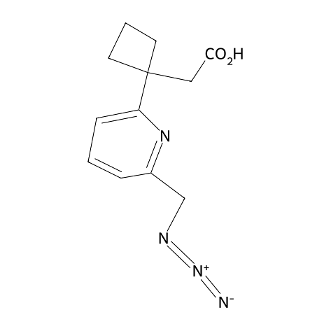 [N-]=[N+]=NCc1cccc(C2(CC(=O)O)CCC2)n1